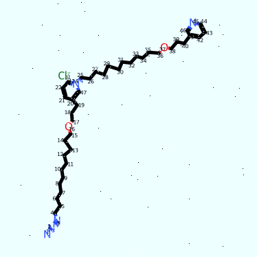 [Cl-].[N-]=[N+]=NCCCCCCCCCCCCOCCCc1ccc[n+](CCCCCCCCCCCCOCCCc2cccnc2)c1